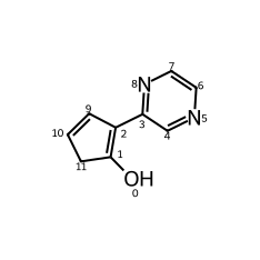 OC1=C(c2cnccn2)C=CC1